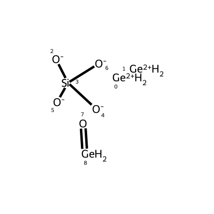 [GeH2+2].[GeH2+2].[O-][Si]([O-])([O-])[O-].[O]=[GeH2]